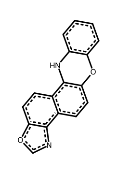 c1ccc2c(c1)Nc1c(ccc3c1ccc1ocnc13)O2